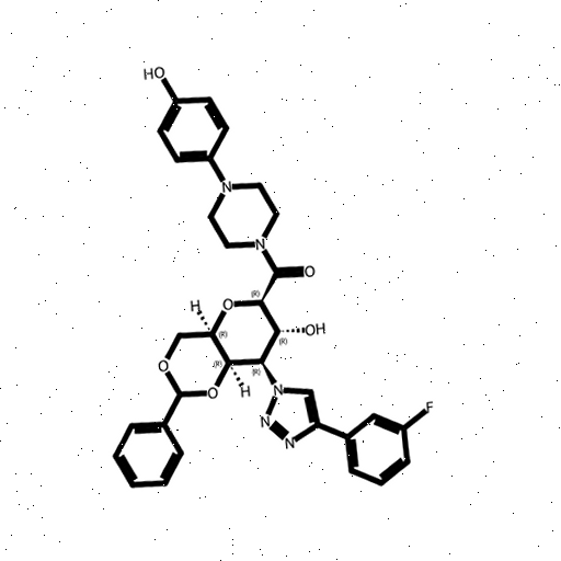 O=C([C@@H]1O[C@@H]2COC(c3ccccc3)O[C@@H]2[C@H](n2cc(-c3cccc(F)c3)nn2)[C@H]1O)N1CCN(c2ccc(O)cc2)CC1